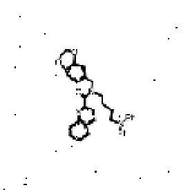 CCN(CC)CCCCN(Cc1ccc2c(c1)OCCO2)C(=O)c1ccc2ccccc2n1